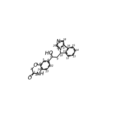 O=C1COc2cc(C(O)CC3c4ccccc4-c4cncn43)ccc2N1